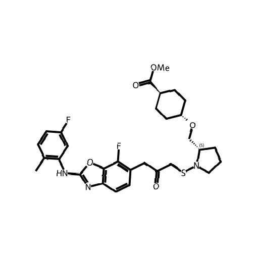 COC(=O)[C@H]1CC[C@H](OC[C@@H]2CCCN2SCC(=O)Cc2ccc3nc(Nc4cc(F)ccc4C)oc3c2F)CC1